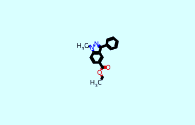 CCOC(=O)c1ccc2c(c1)c(-c1ccccc1)nn2C